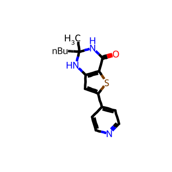 CCCCC1(C)NC(=O)c2sc(-c3ccncc3)cc2N1